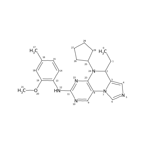 CCC1c2cncn2-c2cnc(Nc3ccc(C)cc3OC)nc2N1C1CCCC1